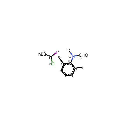 CCCCC(Cl)I.Cc1cccc(C)c1N(C)C=O